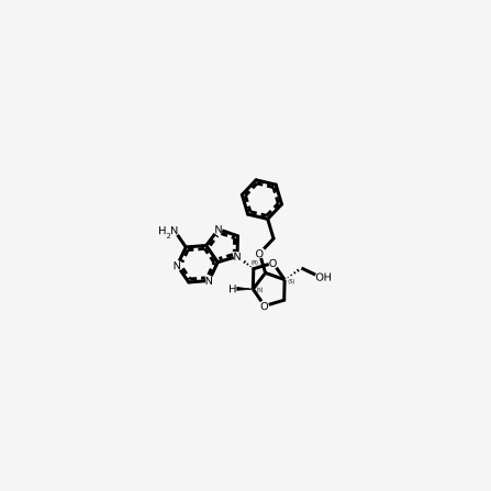 Nc1ncnc2c1ncn2[C@@H]1O[C@@]2(CO)CO[C@H]1C2OCc1ccccc1